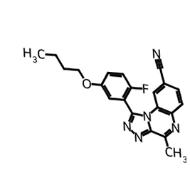 CCCCOc1ccc(F)c(-c2nnc3c(C)nc4ccc(C#N)cc4n23)c1